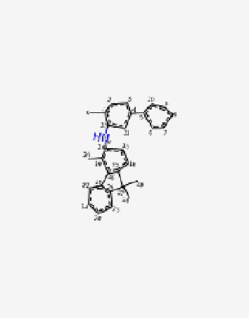 Cc1ccc(-c2ccccc2)cc1Nc1ccc2c(c1C)-c1ccccc1C2(C)C